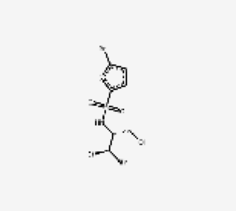 CC[C@H](C(C)C)[C@@H](CO)NS(=O)(=O)c1ccc(Br)s1